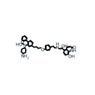 NC1CCC(N(C(=O)O)c2cc(CCCCOc3ccc(CCNC[C@@H](O)c4ccc(O)c5[nH]c(=O)ccc45)cc3)ccc2-c2ccccc2)CC1